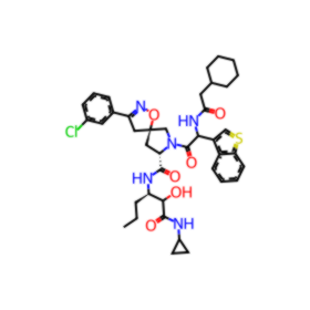 CCC[C@@H](NC(=O)[C@@H]1C[C@]2(CC(c3cccc(Cl)c3)=NO2)CN1C(=O)C(NC(=O)CC1CCCCC1)c1csc2ccccc12)C(O)C(=O)NC1CC1